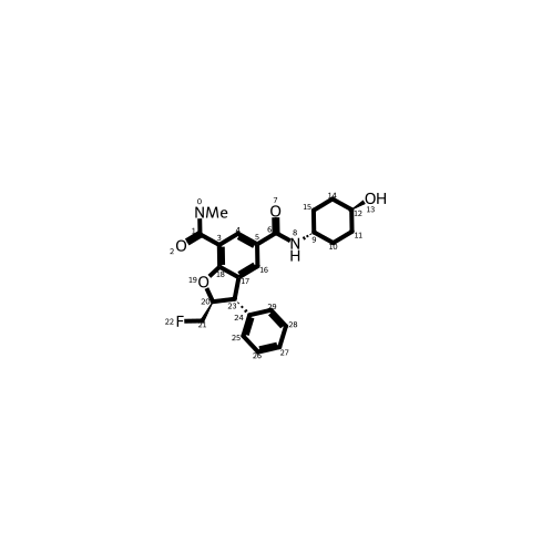 CNC(=O)c1cc(C(=O)N[C@H]2CC[C@H](O)CC2)cc2c1O[C@H](CF)[C@H]2c1ccccc1